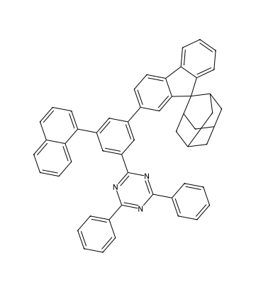 c1ccc(-c2nc(-c3ccccc3)nc(-c3cc(-c4ccc5c(c4)C4(c6ccccc6-5)C5CC6CC(C5)CC4C6)cc(-c4cccc5ccccc45)c3)n2)cc1